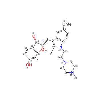 COc1ccc2c(c1)c(/C=C1\Oc3cc(O)ccc3C1=O)c(C)n2CCN1CCN(C)CC1